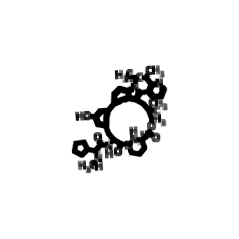 CCn1c(-c2cccnc2C(C)C)c2c3cc(ccc31)-c1cc(O)cc(c1)C[C@H](NC(=O)[C@@H](NC)C1CCCC1)C(=O)N1CCC[C@H](N1)C(=O)OCC(C)(C)C2